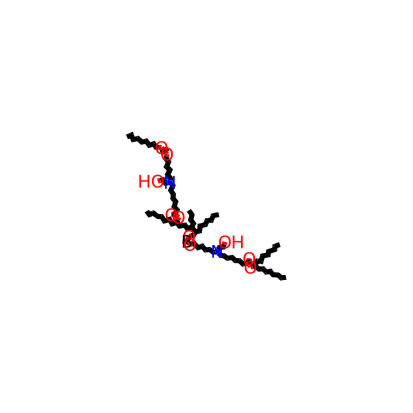 CCCCCCCCCOC(C)(C)OCCCCCCN(CCO)CCCCCCCC(=O)OC(CCCCCCCC)CCCC(CCCC)C(CCCCCCC)COB(C)OCCCCCCN(CCO)CCCCCCCC(=O)OC(CCCCCCCC)CCCCCCCC